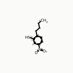 CCCCc1ccc([N+](=O)[O-])cc1S